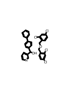 Clc1ccc(COCc2ccc(Cl)cc2Cl)c(Cl)c1.OC(c1ccc(-c2ccccc2)cc1)c1cccnc1